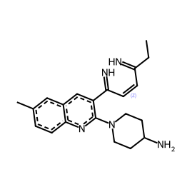 CCC(=N)/C=C\C(=N)c1cc2cc(C)ccc2nc1N1CCC(N)CC1